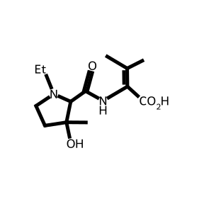 CCN1CCC(C)(O)C1C(=O)NC(C(=O)O)=C(C)C